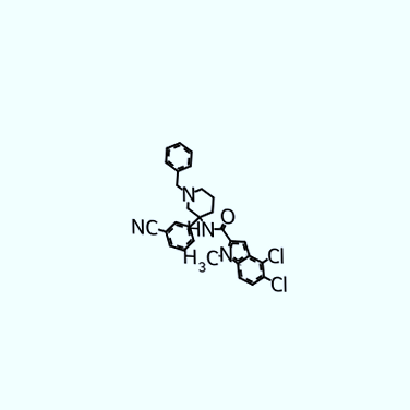 Cn1c(C(=O)NC2(c3cccc(C#N)c3)CCCN(Cc3ccccc3)C2)cc2c(Cl)c(Cl)ccc21